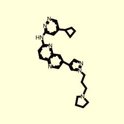 c1nc2ccc(Nc3cc(C4CCC4)cnn3)nc2cc1-c1cnn(CCCN2CCCC2)c1